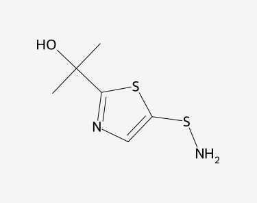 CC(C)(O)c1ncc(SN)s1